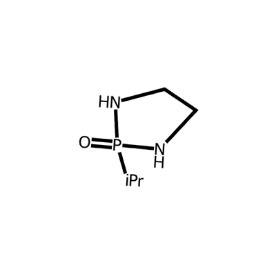 CC(C)P1(=O)NCCN1